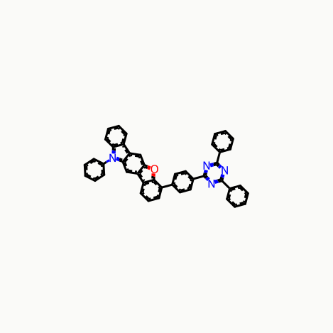 c1ccc(-c2nc(-c3ccccc3)nc(-c3ccc(-c4cccc5c4oc4cc6c7ccccc7n(-c7ccccc7)c6cc45)cc3)n2)cc1